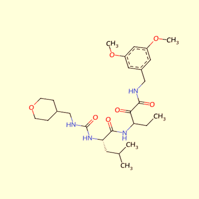 CCC(NC(=O)[C@H](CC(C)C)NC(=O)NCC1CCOCC1)C(=O)C(=O)NCc1cc(OC)cc(OC)c1